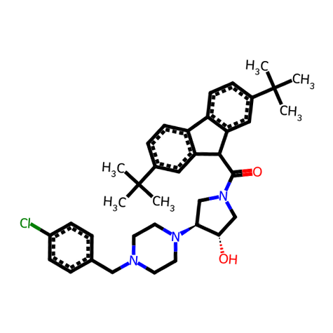 CC(C)(C)c1ccc2c(c1)C(C(=O)N1C[C@H](O)[C@@H](N3CCN(Cc4ccc(Cl)cc4)CC3)C1)c1cc(C(C)(C)C)ccc1-2